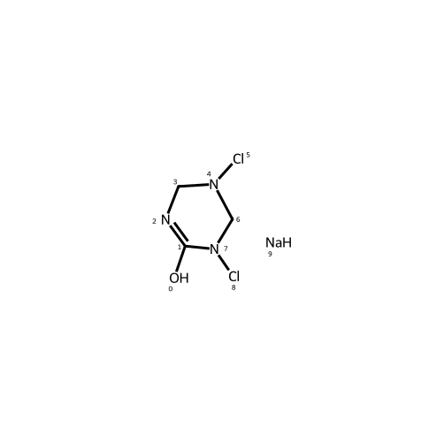 OC1=NCN(Cl)CN1Cl.[NaH]